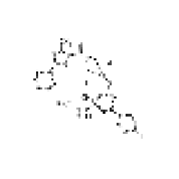 Cc1nc(-c2ncccn2)sc1C(=O)N1C[C@@H]2[C@H](C1)[C@@H]2Oc1cc(C(C)(C)NC(=O)O)cc(-c2ccc(F)cc2)n1